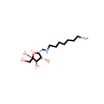 O=C(O)CCCCCCCNC[C@H]1O[C@@](O)(CO)[C@H](O)[C@H]1O